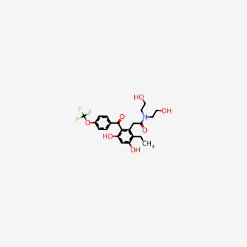 CCc1c(O)cc(O)c(C(=O)c2ccc(OC(F)(F)F)cc2)c1CC(=O)N(CCO)CCO